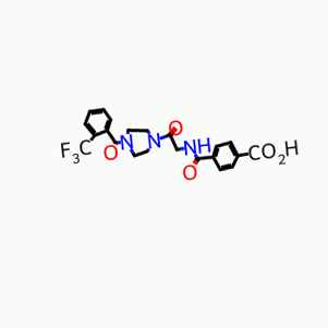 O=C(O)c1ccc(C(=O)NCC(=O)N2CCN(C(=O)c3ccccc3C(F)(F)F)CC2)cc1